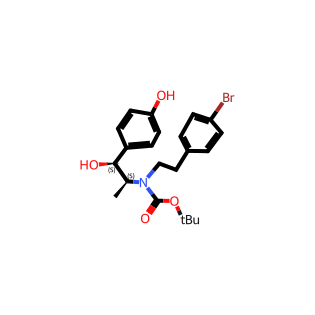 C[C@@H]([C@@H](O)c1ccc(O)cc1)N(CCc1ccc(Br)cc1)C(=O)OC(C)(C)C